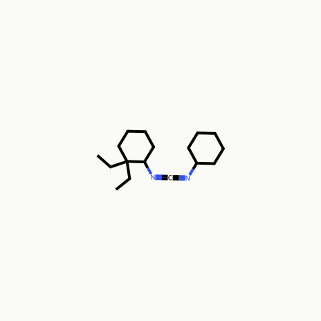 CCC1(CC)CCCCC1N=C=NC1CCCCC1